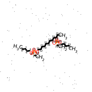 C=CP(=O)(OCCCCC)OCCCCCCCC(CCCC)OP(=O)(C=C)OCCCCC